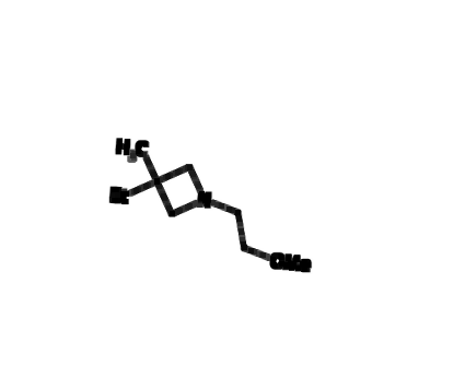 CCC1(C)CN(CCOC)C1